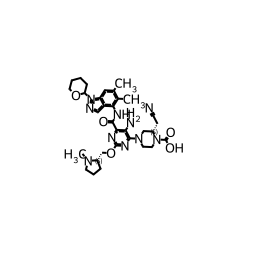 Cc1cc2c(cnn2C2CCCCO2)c(NC(=O)c2nc(OC[C@@H]3CCCN3C)nc(N3CCN(C(=O)O)[C@@H](CC#N)C3)c2N)c1C